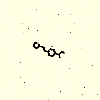 CC(C=O)c1ccc(/C=C/c2cccs2)cc1